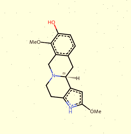 COc1cc2c([nH]1)CCN1Cc3c(ccc(O)c3OC)C[C@@H]21